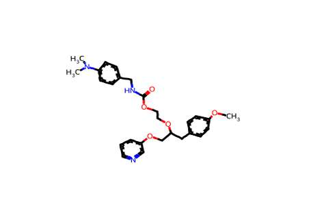 COc1ccc(CC(COc2cccnc2)OCCOC(=O)NCc2ccc(N(C)C)cc2)cc1